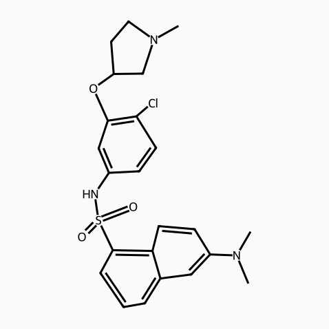 CN1CCC(Oc2cc(NS(=O)(=O)c3cccc4cc(N(C)C)ccc34)ccc2Cl)C1